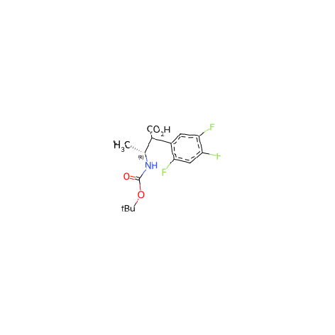 C[C@@H](NC(=O)OC(C)(C)C)C(C(=O)O)c1cc(F)c(F)cc1F